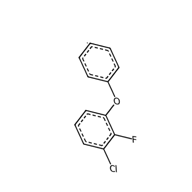 Fc1c(Cl)cccc1Oc1cc[c]cc1